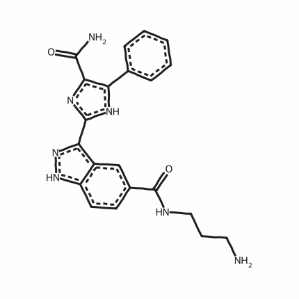 NCCCNC(=O)c1ccc2[nH]nc(-c3nc(C(N)=O)c(-c4ccccc4)[nH]3)c2c1